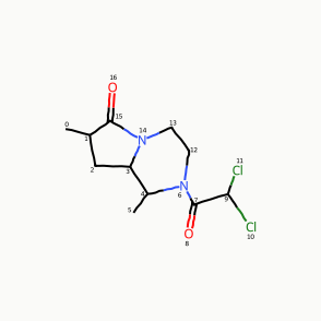 CC1CC2C(C)N(C(=O)C(Cl)Cl)CCN2C1=O